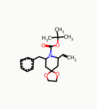 C=CC1CC2(CC(Cc3ccccc3)N1C(=O)OC(C)(C)C)OCCO2